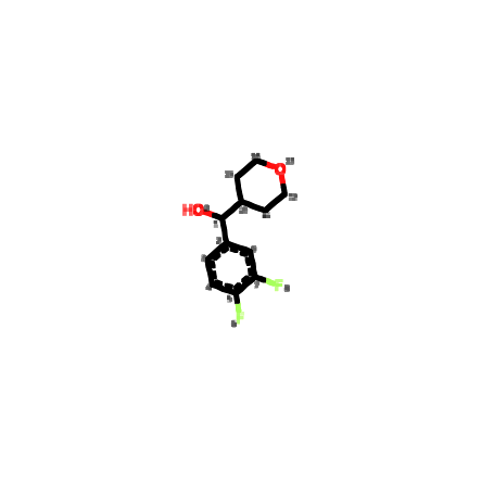 OC(c1ccc(F)c(F)c1)C1CCOCC1